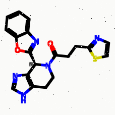 O=C(CCc1nccs1)N1CCc2[nH]cnc2[C@H]1c1nc2ccccc2o1